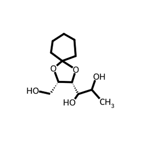 CC(O)C(O)[C@H]1OC2(CCCCC2)O[C@H]1CO